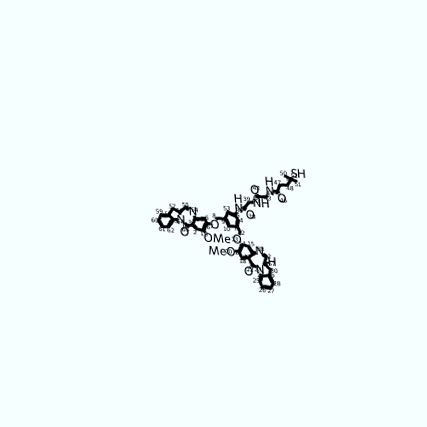 COc1cc2c(cc1OCc1cc(COc3cc4c(cc3OC)C(=O)N3c5ccccc5C[C@H]3C=N4)cc(NC(=O)CNC(=O)CNC(=O)CCC(C)(C)S)c1)N=CC1Cc3ccccc3N1C2=O